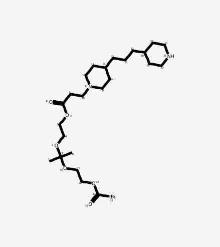 CC(C)(OCCOC(=O)CCN1CCC(CCCC2CCNCC2)CC1)OCCOC(=O)C(C)(C)C